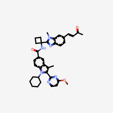 COc1ccnc(-c2c(C)c3cc(C(=O)NC4(c5nc6ccc(/C=C/C(C)=O)cc6n5C)CCC4)ccc3n2C2CCCCC2)n1